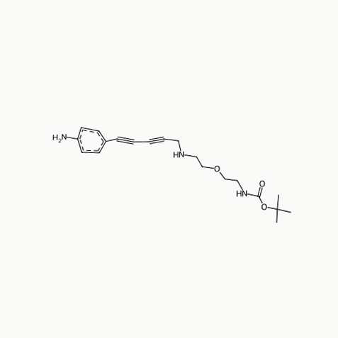 CC(C)(C)OC(=O)NCCOCCNCC#CC#Cc1ccc(N)cc1